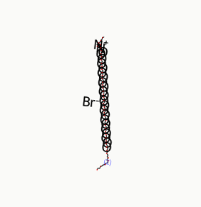 CCCCCCCC/C=C\CCCCCCCCOCCOCCOCCOCCOCCOCCOCCOCCOCCOCCOCCOCCOCCOCCOCCOCCOCCOCCOCCOCCOC(=O)CCN1CC[N+](C)(CCCCCC)CC1.[Br-]